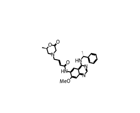 COc1cc2ncnc(N[C@H](C)c3ccccc3)c2cc1NC(=O)C=CCN1CC(=O)O[C@H](C)C1